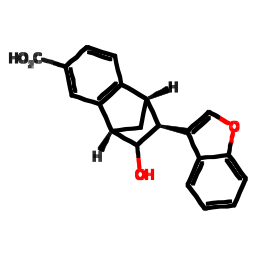 O=C(O)c1ccc2c(c1)[C@@H]1C[C@H]2[C@@H](c2coc3ccccc23)C1O